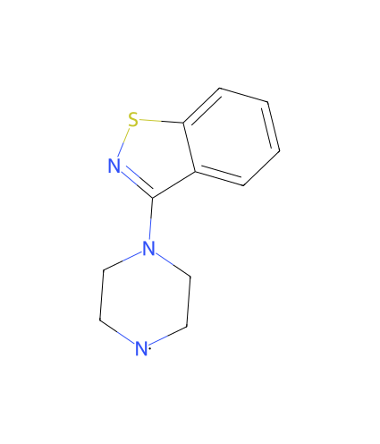 c1ccc2c(N3CC[N]CC3)nsc2c1